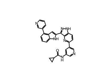 O=C(Nc1cncc(-c2ccc3[nH]nc(-c4cc5c(-c6cccnc6)cccc5[nH]4)c3n2)c1)C1CC1